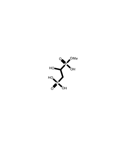 COP(=O)(O)C(O)CP(=O)(O)O